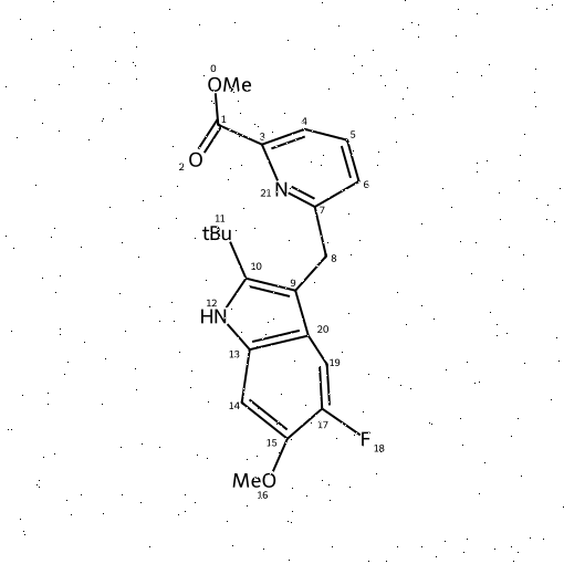 COC(=O)c1cccc(Cc2c(C(C)(C)C)[nH]c3cc(OC)c(F)cc23)n1